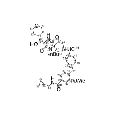 CCCCN1C(=O)[C@@H]([C@H](O)C2CCOCC2)NC(=O)C12CCN(Cc1ccc(Cc3ccc(C(=O)NCC4CC4)cc3OC)cc1)CC2.Cl